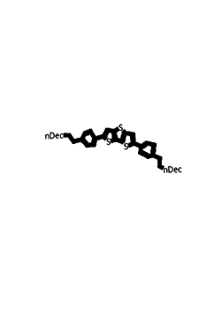 CCCCCCCCCCCCc1ccc(-c2cc3sc4cc(-c5ccc(CCCCCCCCCCCC)cc5)sc4c3s2)cc1